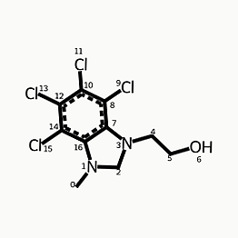 CN1CN(CCO)c2c(Cl)c(Cl)c(Cl)c(Cl)c21